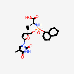 C#C[C@@]1(CO[P@@](=O)(N[C@@H](C)C(=O)O)Oc2cccc3ccccc23)C=C[C@H](n2cc(C)c(=O)[nH]c2=O)O1